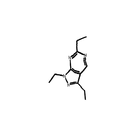 CCc1ncc2c(CC)nn(CC)c2n1